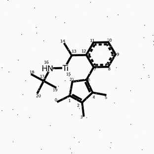 CC1=C(C)C(C)=C(c2ccccc2[CH](C)[Ti][NH]C(C)(C)C)C1